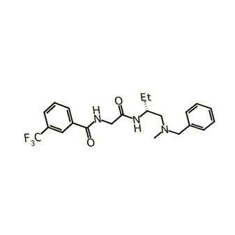 CC[C@H](CN(C)Cc1ccccc1)NC(=O)CNC(=O)c1cccc(C(F)(F)F)c1